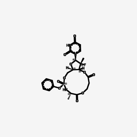 C[C@@H]1N[P@@](=O)(Oc2ccccc2)OC[C@H]2O[C@@H](n3ccc(=O)[nH]c3=O)[C@](C)(F)[C@@H]2OC(=O)CCOC1=O